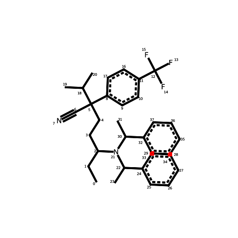 CCC(CCC(C#N)(c1ccc(C(F)(F)F)cc1)C(C)C)N(C(C)c1ccccc1)C(C)c1ccccc1